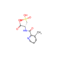 Cc1cccnc1C(=O)N[C@@H](CS(=O)(=O)O)C(=O)O